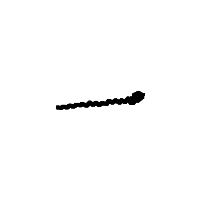 CCCCCCCCCCCCCCCCCCCCCCCOc1cc[c]cc1